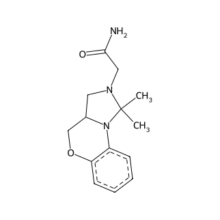 CC1(C)N(CC(N)=O)CC2COc3ccccc3N21